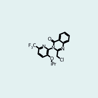 CC(C)Oc1ccc(C(F)(F)F)nc1-n1c(CCl)nc2ccccc2c1=O